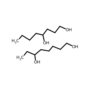 CCC(O)CCCCCO.CCCCC(O)CCCO